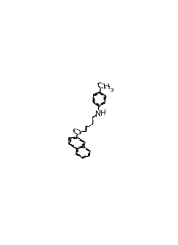 Cc1ccc(NCCCCOc2ccc3ccccc3c2)cc1